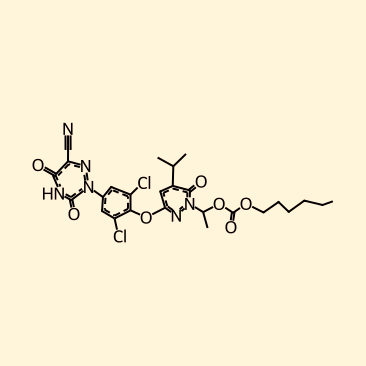 CCCCCCOC(=O)OC(C)n1nc(Oc2c(Cl)cc(-n3nc(C#N)c(=O)[nH]c3=O)cc2Cl)cc(C(C)C)c1=O